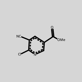 COC(=O)c1cnc(Cl)c(C#N)c1